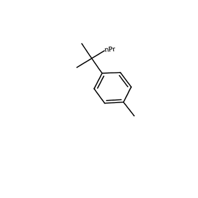 CCCC(C)(C)c1ccc(C)cc1